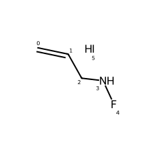 C=CCNF.I